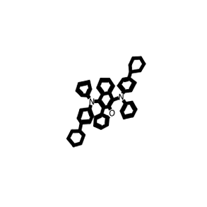 c1ccc(N(c2ccc(C3CCCCC3)cc2)c2c3ccccc3c(N(c3ccccc3)c3ccc(C4CCCCC4)cc3)c3c2oc2ccccc23)cc1